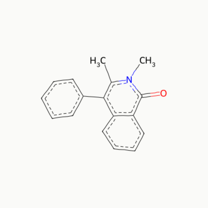 Cc1c(-c2ccccc2)c2ccccc2c(=O)n1C